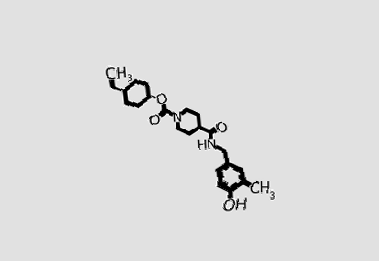 CC[C@H]1CC[C@H](OC(=O)N2CCC(C(=O)NCc3ccc(O)c(C)c3)CC2)CC1